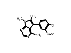 COc1cc(-c2c(C)n(C)c3ncnc(N)c23)ccc1Cl